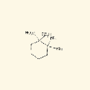 CCCCC1(CCCC)CCCCC1(C(=O)O)C(=O)O